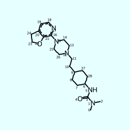 CN(C)C(=O)NC1CCC(CCN2CCN(c3nccc4c3OCC4)CC2)CC1